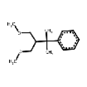 COCC(COC)C(C)(C)c1ccccc1